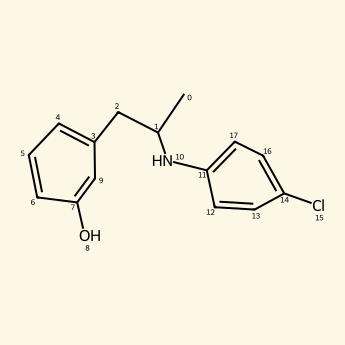 CC(Cc1cccc(O)c1)Nc1ccc(Cl)cc1